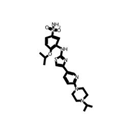 CC(C)Oc1ccc(S(N)(=O)=O)cc1Nc1nc(-c2ccc(N3CCN(C(C)C)CC3)nc2)cs1